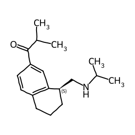 CC(C)NC[C@H]1CCCc2ccc(C(=O)C(C)C)cc21